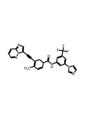 CC1=C(C#Cc2cnc3cccnn23)CC(C(=O)Nc2cc(-n3ccnc3)cc(C(F)(F)F)c2)C=C1